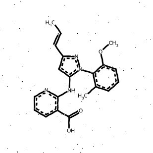 C/C=C/c1cc(Nc2ncccc2C(=O)O)n(-c2c(C)cccc2OC)n1